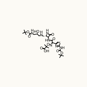 CC(C)(C)OC(=O)NC[C@@H](O)CNC[C@@H]1NC(=O)C1NC(=O)/C(=N\OC(C)(C)C(=O)O)c1csc(NC(=O)OC(C)(C)C)n1